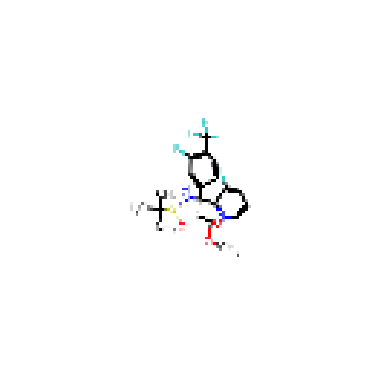 COC(=O)C[C@](N[S@+]([O-])C(C)(C)C)(c1ccc(C(F)(F)F)c(F)c1)c1ncccc1F